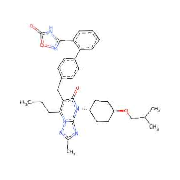 CCCc1c(Cc2ccc(-c3ccccc3-c3noc(=O)[nH]3)cc2)c(=O)n([C@H]2CC[C@H](OC[C](C)C)CC2)c2nc(C)nn12